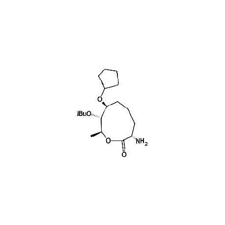 CC(C)CO[C@H]1[C@H](C)OC(=O)[C@@H](N)CCC[C@@H]1OC1CCCC1